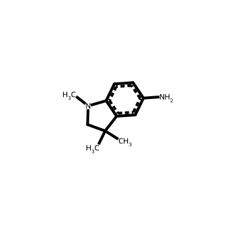 CN1CC(C)(C)c2cc(N)ccc21